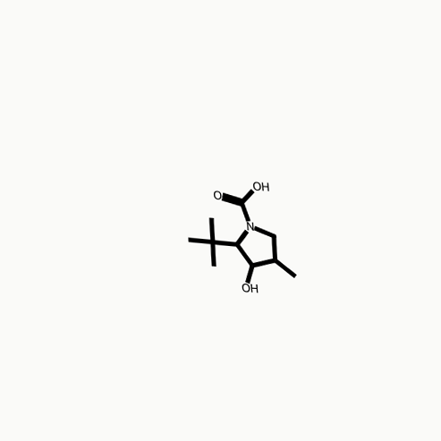 CC1CN(C(=O)O)C(C(C)(C)C)C1O